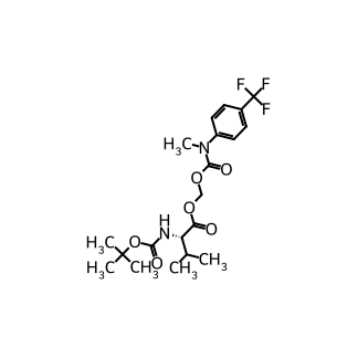 CC(C)[C@H](NC(=O)OC(C)(C)C)C(=O)OCOC(=O)N(C)c1ccc(C(F)(F)F)cc1